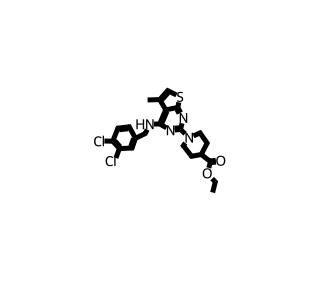 CCOC(=O)C1CCN(c2nc(NCc3ccc(Cl)c(Cl)c3)c3c(C)csc3n2)CC1